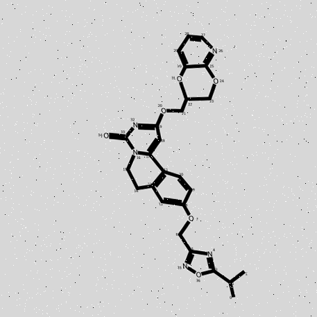 CC(C)c1nc(COc2ccc3c(c2)CCn2c-3cc(OCC3COc4ncccc4O3)nc2=O)no1